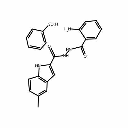 Cc1ccc2[nH]c(C(=O)NNC(=O)c3ccccc3N)cc2c1.O=S(=O)(O)c1ccccc1